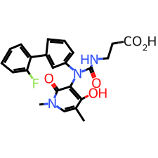 Cc1cn(C)c(=O)c(N(C(=O)NCCC(=O)O)c2cccc(-c3ccccc3F)c2)c1O